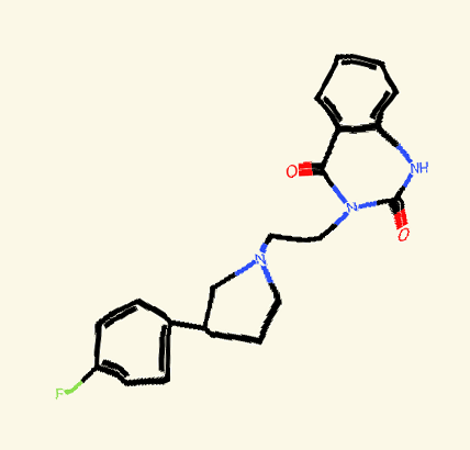 O=c1[nH]c2ccccc2c(=O)n1CCN1CCC(c2ccc(F)cc2)C1